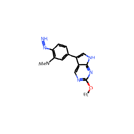 CCOc1ncc2c(-c3ccc(N=N)c(NC)c3)c[nH]c2n1